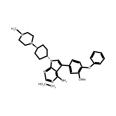 CC(=O)O.COc1cc(-c2cn([C@H]3CC[C@H](N4CCN(C)CC4)CC3)c3ncnc(N)c23)ccc1Oc1ccccc1